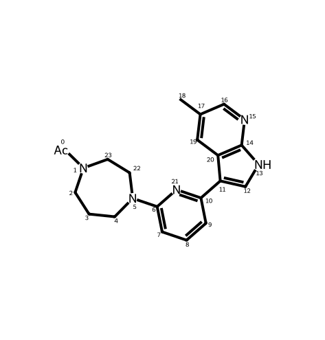 CC(=O)N1CCCN(c2cccc(-c3c[nH]c4ncc(C)cc34)n2)CC1